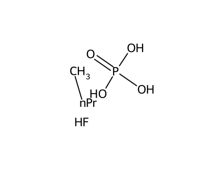 CCCC.F.O=P(O)(O)O